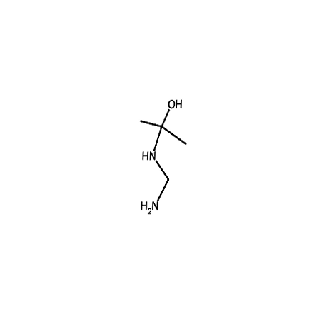 CC(C)(O)NCN